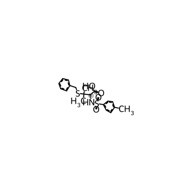 Cc1ccc(S(=O)(=O)N[C@H](C(=O)O)C(C)(C)SCc2ccccc2)cc1